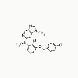 CCc1c(OCc2ccc(Cl)cc2)cccc1N(C)c1cc2c(cn1)ncn2C